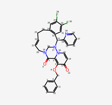 O=C1c2c(OCc3ccccc3)c(=O)ccn2N2CN1C/C=C/CCc1cc(F)c(F)cc1[C@H]2c1ccccn1